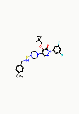 COc1ccc(CNSN2CCN(c3cnn(-c4cc(F)cc(F)c4)c(=O)c3OCC3(C)CC3)CC2)cc1